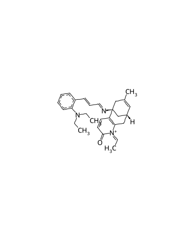 CC=[N+]1C(=O)C=CC2=C1C[C@H]1C=C(C)C[C@]2(N=CC=Cc2ccccc2N(CC)CC)C1